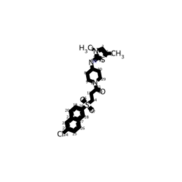 Cc1cn(C)/c(=N/C2CCN(C(=O)CCS(=O)(=O)c3ccc4cc(Cl)ccc4c3)CC2)s1